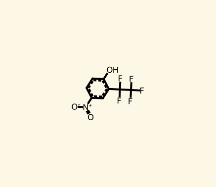 O=[N+]([O-])c1ccc(O)c(C(F)(F)C(F)(F)F)c1